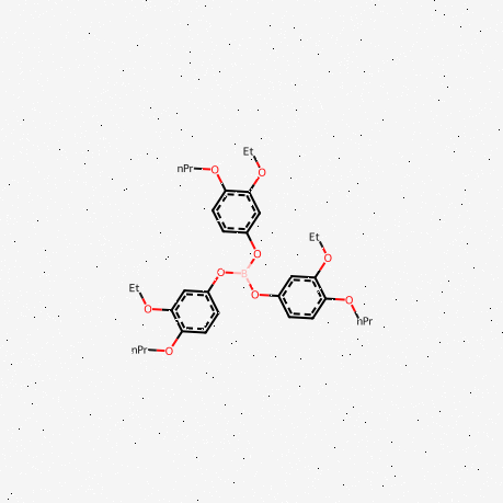 CCCOc1ccc(OB(Oc2ccc(OCCC)c(OCC)c2)Oc2ccc(OCCC)c(OCC)c2)cc1OCC